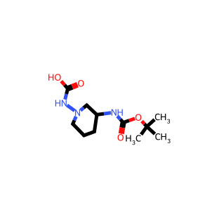 CC(C)(C)OC(=O)NC1CCCN(NC(=O)O)C1